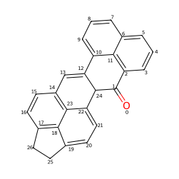 O=C1c2cccc3cccc(c23)C2=Cc3ccc4c5c(ccc(c35)C12)CC4